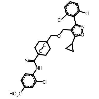 O=C(O)c1ccc(NC(=S)C23CCC(COCc4c(-c5c(Cl)cccc5Cl)noc4C4CC4)(CC2)CC3)c(Cl)c1